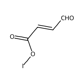 O=C/C=C/C(=O)OI